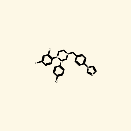 Clc1ccc([C@@H]2CN(Cc3ccc(-n4ccnc4)cc3)CCN2c2ccc(Cl)cc2Cl)cc1